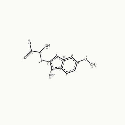 COc1ccc2nn(SC(O)C(=O)[O-])cc2c1.[Na+]